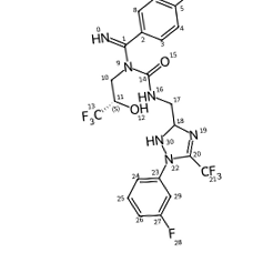 N=C(c1ccc(Cl)cc1)N(C[C@H](O)C(F)(F)F)C(=O)NCC1N=C(C(F)(F)F)N(c2cccc(F)c2)N1